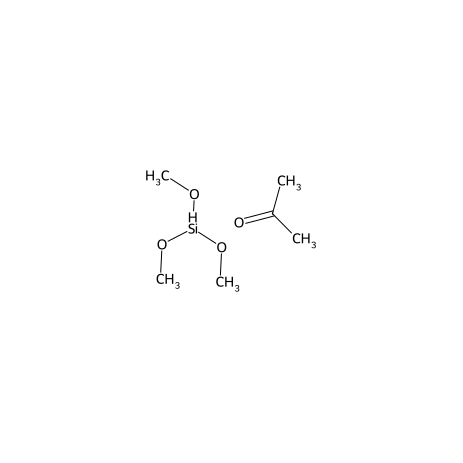 CC(C)=O.CO[SiH](OC)OC